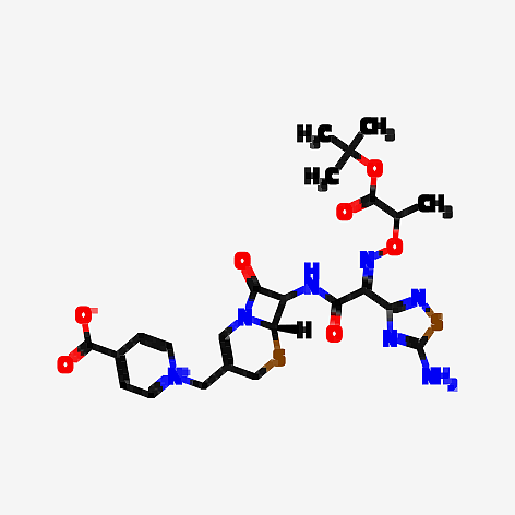 CC(ON=C(C(=O)NC1C(=O)N2C=C(C[n+]3ccc(C(=O)[O-])cc3)CS[C@@H]12)c1nsc(N)n1)C(=O)OC(C)(C)C